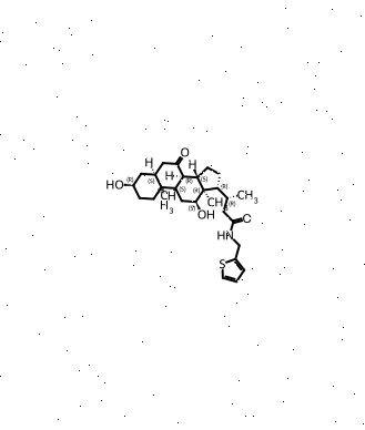 C[C@H](CC(=O)NCc1cccs1)[C@H]1CC[C@H]2[C@@H]3C(=O)C[C@@H]4C[C@H](O)CC[C@]4(C)[C@H]3C[C@H](O)[C@]12C